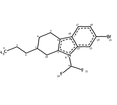 CCCC1CCc2c(n(C(F)F)c3cc(Br)ccc23)C1